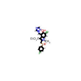 CCOC(=O)c1c(C[S+]([O-])c2ccc(F)cc2)n(C)c2cc(Br)c(O)c(Cn3cncn3)c12